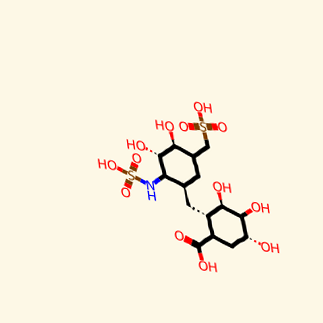 O=C(O)C1C[C@@H](O)C(O)[C@H](O)[C@H]1C[C@@H]1CC(CS(=O)(=O)O)[C@H](O)[C@@H](O)C1NS(=O)(=O)O